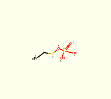 CCCCSOP(=O)(O)O